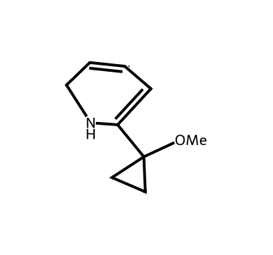 COC1(C2=C[C]=CCN2)CC1